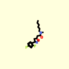 CCCCCCN(C)C(=O)CC1CC(c2ccc(F)cc2F)=NO1